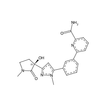 CN1CC[C@](O)(c2cc(-c3cccc(-c4cccc(C(N)=O)n4)c3)n(C)n2)C1=O